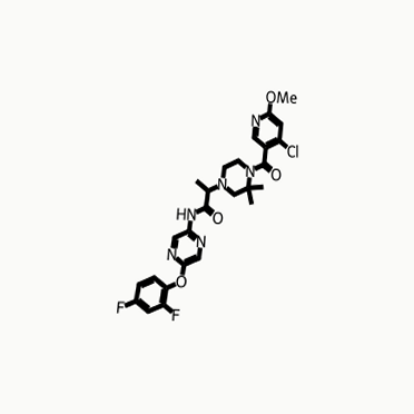 COc1cc(Cl)c(C(=O)N2CCN(C(C)C(=O)Nc3cnc(Oc4ccc(F)cc4F)cn3)CC2(C)C)cn1